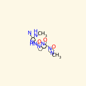 CCNc1cc(NC(=O)N2CCCc3cc(CN4CCN(C)CC4=O)c(C=O)nc32)ncc1C#N